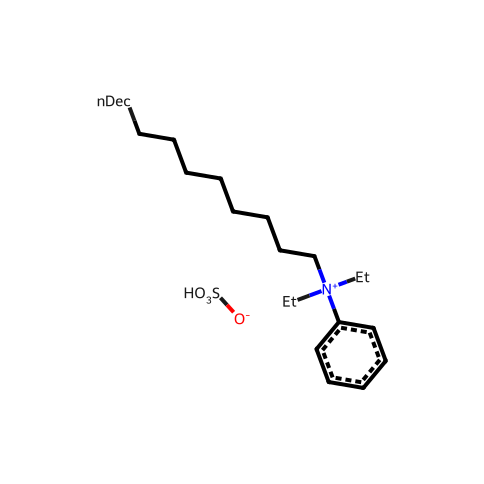 CCCCCCCCCCCCCCCCCC[N+](CC)(CC)c1ccccc1.O=S(=O)([O-])O